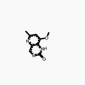 COc1cc(C)nc2cnc(=O)[nH]c12